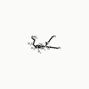 Cc1c(C)c2c(c(C)c1OC(=O)CCN(CCC(=O)OCCCCCCCC(C)C)CCC(=O)OCCCCCCCC(C)C)CC[C@@](C)(CCC[C@H](C)CCC[C@H](C)CCCC(C)C)O2